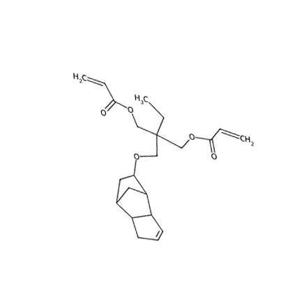 C=CC(=O)OCC(CC)(COC(=O)C=C)COC1CC2CC1C1C=CCC21